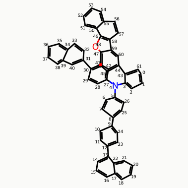 c1ccc(N(c2ccc(-c3ccc(-c4cccc5ccccc45)cc3)cc2)c2ccc(-c3ccc4ccccc4c3)cc2)c(-c2ccc3oc4c5ccccc5ccc4c3c2)c1